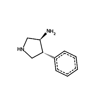 N[C@@H]1CNC[C@H]1c1ccccc1